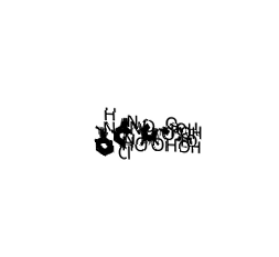 C[C@@H](Nc1cc(Cl)nc2c1cnn2[C@@H]1O[C@H](COP(=O)(O)CP(=O)(O)O)[C@@H](O)[C@H]1O)c1ccccc1